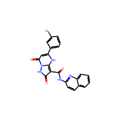 O=C(Nc1ccc2ccccc2n1)c1c(=O)[nH]n2c(=O)cc(-c3cccc(Cl)c3)[nH]c12